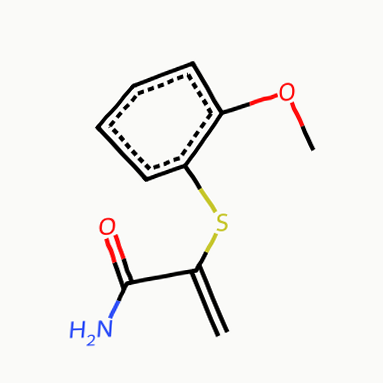 C=C(Sc1ccccc1OC)C(N)=O